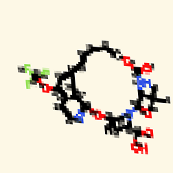 CC(C)(C)[C@@H]1NC(=O)OCCC/C=C/c2cc(OC(F)(F)F)c3ccnc(c3c2)O[C@@H]2C[C@@H](C(=O)O)N(C2)C1=O